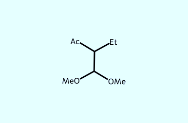 CCC(C(C)=O)C(OC)OC